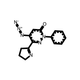 [N-]=[N+]=Nc1cc(=O)n(-c2ccccc2)nc1C1=NCCC1